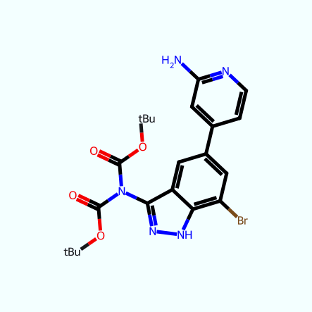 CC(C)(C)OC(=O)N(C(=O)OC(C)(C)C)c1n[nH]c2c(Br)cc(-c3ccnc(N)c3)cc12